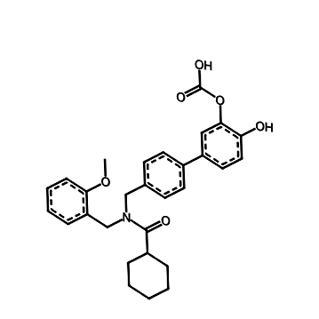 COc1ccccc1CN(Cc1ccc(-c2ccc(O)c(OC(=O)O)c2)cc1)C(=O)C1CCCCC1